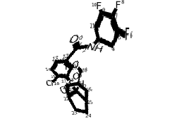 O=C(Nc1cc(F)c(F)c(F)c1)c1ccc(Cl)c(S(=O)(=O)[C@H]2C3CCC2C[C@H](CO)C3)c1